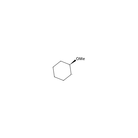 CO[C@H]1[CH]CCCC1